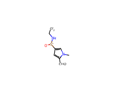 Cn1cc([S+]([O-])NCC(F)(F)F)cc1C=O